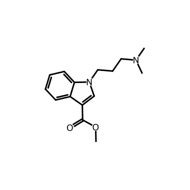 COC(=O)c1cn(CCCN(C)C)c2ccccc12